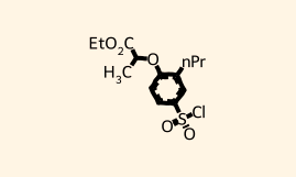 CCCc1cc(S(=O)(=O)Cl)ccc1OC(C)C(=O)OCC